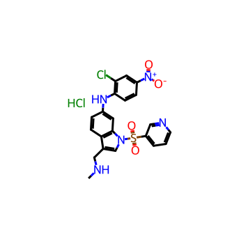 CNCc1cn(S(=O)(=O)c2cccnc2)c2cc(Nc3ccc([N+](=O)[O-])cc3Cl)ccc12.Cl